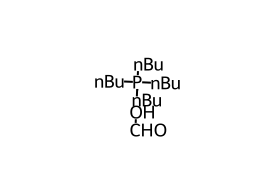 CCCC[P](CCCC)(CCCC)CCCC.O=CO